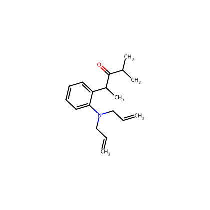 C=CCN(CC=C)c1ccccc1C(C)C(=O)C(C)C